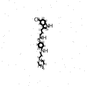 CN1CCN(CCCNc2ccc(SNCCCc3c[nH]c4ccc(Cl)cc34)cc2)CC1